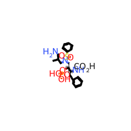 CC(CN)CN(C[C@@H](OP(=O)(O)O)[C@H](Cc1ccccc1)NC(=O)O)S(=O)(=O)c1ccccc1